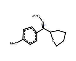 CO/N=C(\c1ccc(OC)cc1)C1CCCCC1